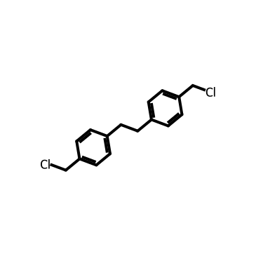 ClCc1ccc(CCc2ccc(CCl)cc2)cc1